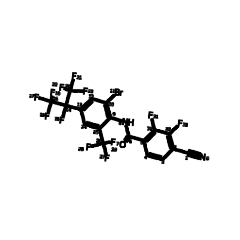 N#Cc1ccc(C(=O)Nc2c(Br)cc(C(F)(C(F)(F)F)C(F)(F)F)cc2C(F)(F)F)c(F)c1F